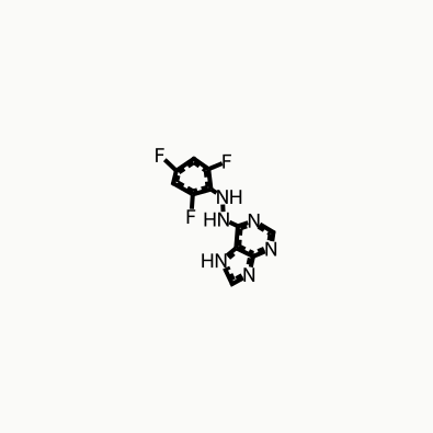 Fc1cc(F)c(NNc2ncnc3nc[nH]c23)c(F)c1